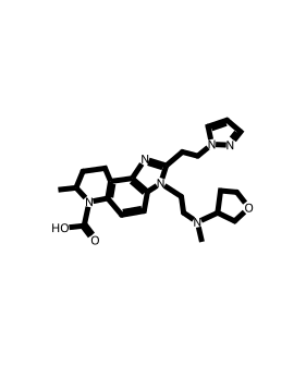 CC1CCc2c(ccc3c2nc(CCn2cccn2)n3CCN(C)C2CCOC2)N1C(=O)O